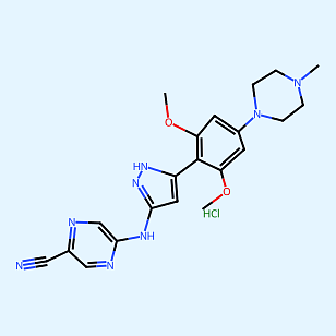 COc1cc(N2CCN(C)CC2)cc(OC)c1-c1cc(Nc2cnc(C#N)cn2)n[nH]1.Cl